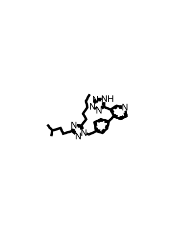 CCCCCc1nc(CCC(C)C)nn1Cc1ccc(-c2ccncc2-c2nnn[nH]2)cc1